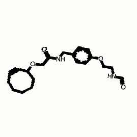 O=CNCCOc1ccc(CNC(=O)COC2C#CCCCCC2)cc1